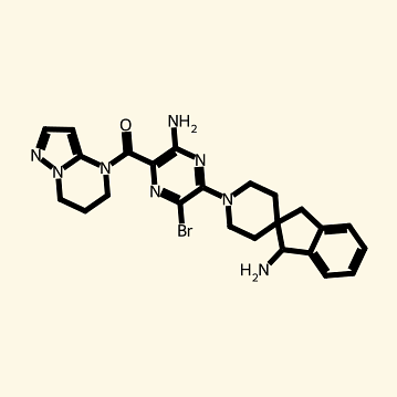 Nc1nc(N2CCC3(CC2)Cc2ccccc2C3N)c(Br)nc1C(=O)N1CCCn2nccc21